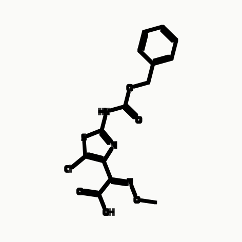 CON=C(C(=O)O)c1nc(NC(=O)OCc2ccccc2)sc1Cl